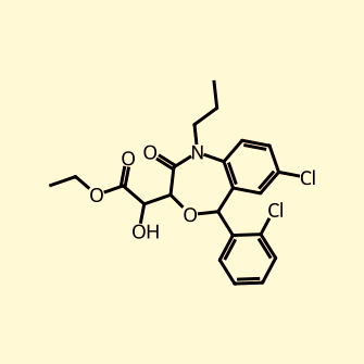 CCCN1C(=O)C(C(O)C(=O)OCC)OC(c2ccccc2Cl)c2cc(Cl)ccc21